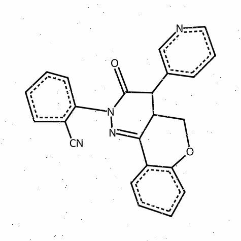 N#Cc1ccccc1N1N=C2c3ccccc3OCC2C(c2cccnc2)C1=O